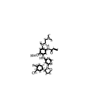 C=CC(=O)Nc1cc(Nc2cc(N3OCC[C@@H]3c3ccc(F)c(Cl)c3)ncn2)c(OC)cc1N(C)CCN(C)C